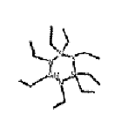 CCN1[SiH](CC)N(CC)[Si](CC)(CC)N(CC)[Si]1(CC)CC